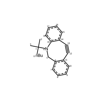 CCCCC(C)(C)N1Cc2ccccc2C#Cc2ccccc21